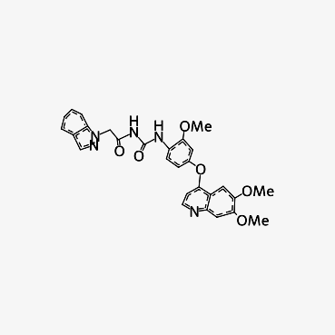 COc1cc(Oc2ccnc3cc(OC)c(OC)cc23)ccc1NC(=O)NC(=O)Cn1ncc2ccccc21